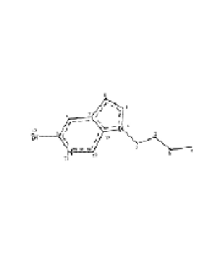 CCCCn1ccc2cc(Br)ncc21